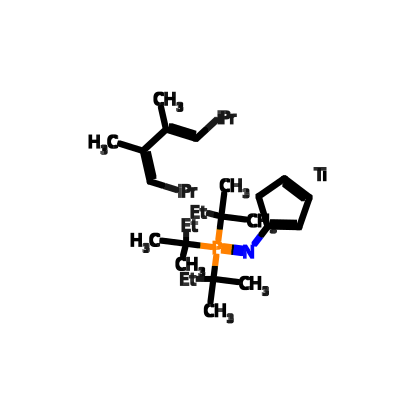 CC(=CC(C)C)C(C)=CC(C)C.CCC(C)(C)P(=NC1=CC=CC1)(C(C)(C)CC)C(C)(C)CC.[Ti]